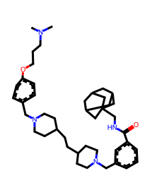 CN(C)CCCOc1ccc(CN2CCC(CCC3CCN(Cc4cccc(C(=O)NCC56CC7CC(CC(C7)C5)C6)c4)CC3)CC2)cc1